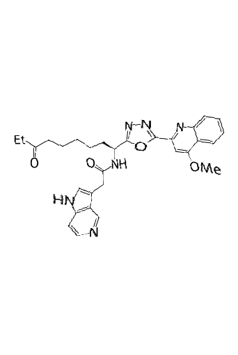 CCC(=O)CCCCC[C@H](NC(=O)Cc1c[nH]c2ccncc12)c1nnc(-c2cc(OC)c3ccccc3n2)o1